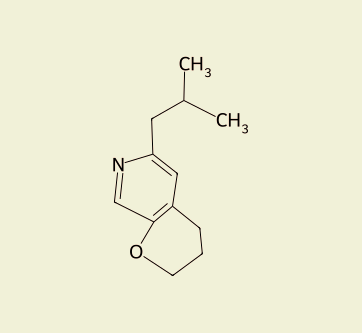 CC(C)Cc1cc2c(cn1)OCCC2